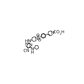 N#Cc1cnc(NC2CCN(S(=O)(=O)c3ccc(C4=CCN(C(=O)O)CC4)cc3)CC2)nc1NC1CCCC1